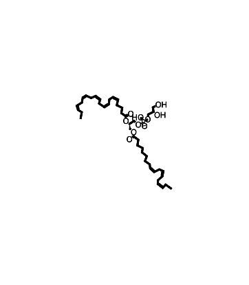 CC/C=C\C/C=C\C/C=C\C/C=C\C/C=C\CCCC(=O)O[C@H](COC(=O)CCCCCCC/C=C\C/C=C\C/C=C\CC)COP(=O)(O)OC[C@@H](O)CO